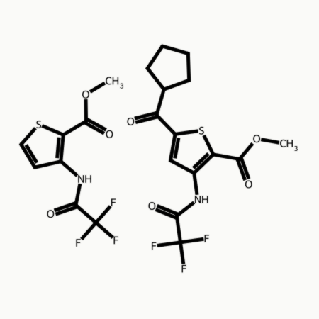 COC(=O)c1sc(C(=O)C2CCCC2)cc1NC(=O)C(F)(F)F.COC(=O)c1sccc1NC(=O)C(F)(F)F